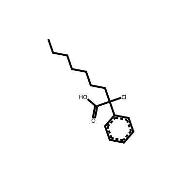 CCCCCCCC(Cl)(C(=O)O)c1ccccc1